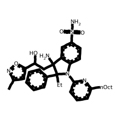 CCCCCCCCc1cccc(N2c3ccc(S(N)(=O)=O)cc3C(N)(CC(O)c3cc(C)no3)C2(CC)c2ccccc2)n1